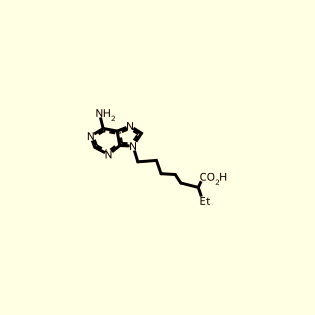 CCC(CCCCCn1cnc2c(N)ncnc21)C(=O)O